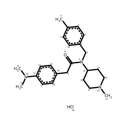 Cc1ccc(CN(C(=O)Cc2ccc(N(C)C)cc2)C2CCN(C)CC2)cc1.Cl